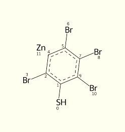 Sc1c(Br)cc(Br)c(Br)c1Br.[Zn]